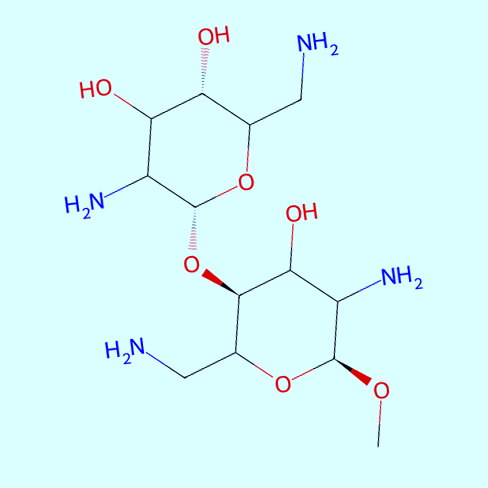 CO[C@H]1OC(CN)[C@@H](O[C@H]2OC(CN)[C@@H](O)C(O)C2N)C(O)C1N